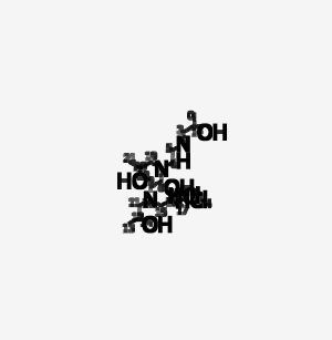 CC(O)CNCCN(CCN(CC(C)O)CC(C)O)CC(C)O.Cl.Cl